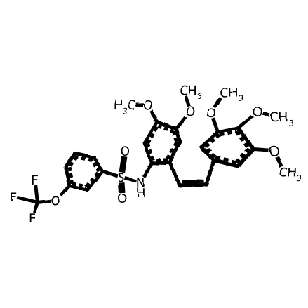 COc1cc(/C=C\c2cc(OC)c(OC)c(OC)c2)c(NS(=O)(=O)c2cccc(OC(F)(F)F)c2)cc1OC